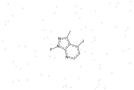 Cc1nn(F)c2nccc(I)c12